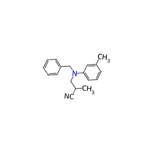 Cc1cccc(N(Cc2ccccc2)CC(C)C#N)c1